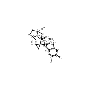 N[C@H](Cc1cc(F)c(F)cc1F)[C@@H]1C[C@H]2CC[C@@H](C1)N2C(=O)C1(C(=O)O)CC1